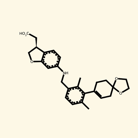 Cc1ccc(CNc2ccc3c(c2)OC[C@H]3CC(=O)O)c(C)c1C1=CCC2(CC1)OCCO2